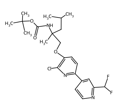 CC(C)CC(C)(COc1ccc(-c2ccnc(C(F)F)c2)nc1Cl)NC(=O)OC(C)(C)C